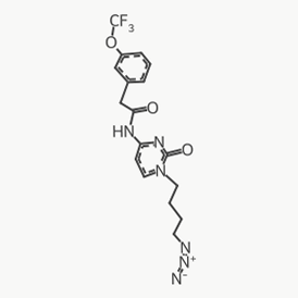 [N-]=[N+]=NCCCCn1ccc(NC(=O)Cc2cccc(OC(F)(F)F)c2)nc1=O